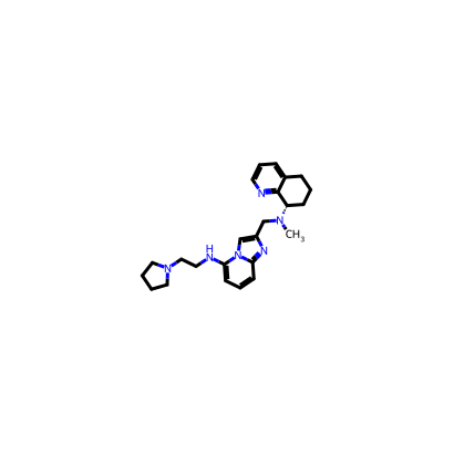 CN(Cc1cn2c(NCCN3CCCC3)cccc2n1)[C@H]1CCCc2cccnc21